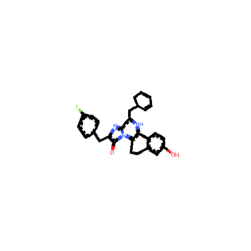 O=c1c(Cc2ccc(F)cc2)nc2c(CC3C=CC=CC3)[nH]c3c(n1-2)CCc1cc(O)ccc1-3